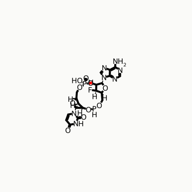 Nc1ncnc2c1ncn2[C@@H]1O[C@@H]2COPO[C@@H]3[C@H](F)[C@@H](COP(=O)(O)O[C@@H]1[C@@H]2F)O[C@H]3n1ccc(=O)[nH]c1=O